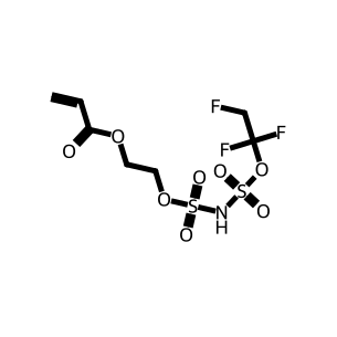 C=CC(=O)OCCOS(=O)(=O)NS(=O)(=O)OC(F)(F)CF